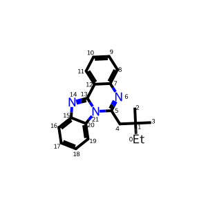 CCC(C)(C)Cc1nc2ccccc2c2nc3ccccc3n12